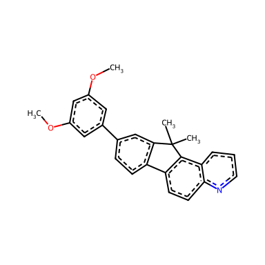 COc1cc(OC)cc(-c2ccc3c(c2)C(C)(C)c2c-3ccc3ncccc23)c1